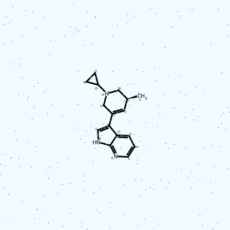 C[C@H]1C=C(c2c[nH]c3ncccc23)CN(C2CC2)C1